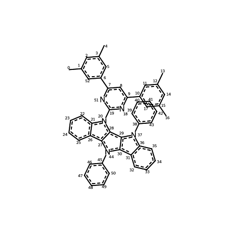 Cc1cc(C)cc(-c2cc(-c3cc(C)cc(C)c3)nc(-n3c4ccccc4c4c3c3c(c5ccccc5n3-c3ccccc3)n4-c3ccccc3)n2)c1